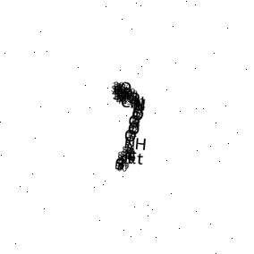 CCn1c2ccc(CNCCOCCOCCOCCOCCn3cc(COc4ccc(C(=O)N5c6ccccc6Sc6ccc(Cl)cc65)cc4)nn3)cc2c2ccc(-c3cccs3)cc21